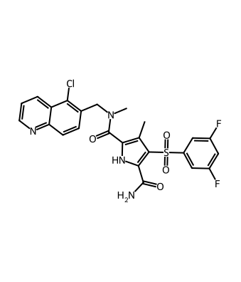 Cc1c(C(=O)N(C)Cc2ccc3ncccc3c2Cl)[nH]c(C(N)=O)c1S(=O)(=O)c1cc(F)cc(F)c1